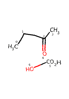 CCC(C)=O.O=C(O)O